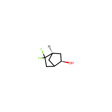 O[C@@H]1C[C@H]2CC1CC2(F)F